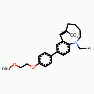 CCCCOCCOc1ccc(-c2ccc3c(c2)/C=C(\C(=O)O)CCCCN3CC(C)C)cc1